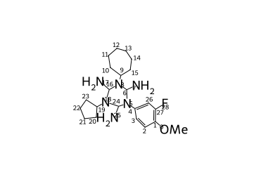 COc1ccc(N2C(N)N(C3CCCCCC3)C(N)N(C3CCCC3)C2N)cc1F